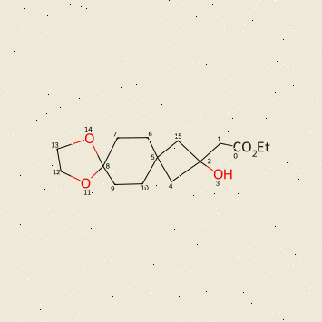 CCOC(=O)CC1(O)CC2(CCC3(CC2)OCCO3)C1